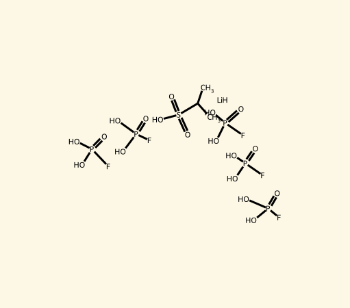 CC(C)S(=O)(=O)O.O=P(O)(O)F.O=P(O)(O)F.O=P(O)(O)F.O=P(O)(O)F.O=P(O)(O)F.[LiH]